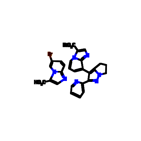 CCOC(=O)c1cnc2c(-c3c(-c4ccccn4)nn4c3CCC4)cccn12.O=C(O)c1cnc2ccc(Br)cn12